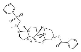 C[C@H](CS(=O)(=O)c1ccccc1)[C@@H]1CC[C@@H]2C3=CC=C4C[C@@H](OC(=O)c5ccccc5)CC[C@@]4(C)[C@H]3CC[C@]21C